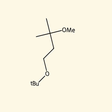 COC(C)(C)CCOC(C)(C)C